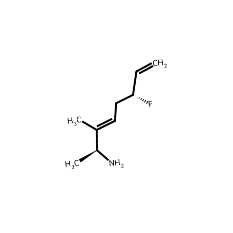 C=C[C@H](F)C/C=C(\C)[C@H](C)N